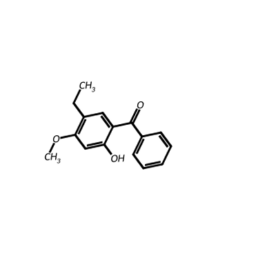 CCc1cc(C(=O)c2ccccc2)c(O)cc1OC